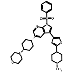 CN1CCC(c2nc(-c3cn(S(=O)(=O)c4ccccc4)c4ncc([C@H]5CC[C@H](N6CCOCC6)CC5)cc34)cs2)CC1